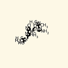 Cc1nn(C)c(OCC[C@H](C)Nc2cc(Cl)ncc2-c2ncc(CN3CC(O)C(C)(C)C3)cc2F)c1-c1nccc(N)n1